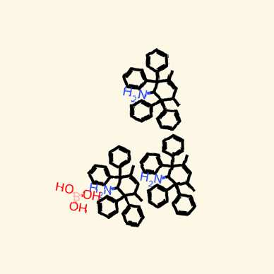 CC1=CC(C)C(c2ccccc2)(c2ccccc2)C(N)C1(c1ccccc1)c1ccccc1.CC1=CC(C)C(c2ccccc2)(c2ccccc2)C(N)C1(c1ccccc1)c1ccccc1.CC1=CC(C)C(c2ccccc2)(c2ccccc2)C(N)C1(c1ccccc1)c1ccccc1.OB(O)O